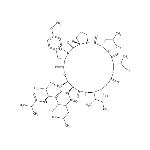 CC[C@H](C)[C@H]1NC(=O)[C@@H](NC(=O)C(CC(C)C)N(C)C(=O)[C@@H](NC(=O)C(C)C)C(C)C)[C@@H](C)OC(=O)[C@H](Cc2ccc(OC)cc2)N(C)C(=O)[C@@H]2CCCN2C(=O)[C@H](CC(C)C)NC(=O)[C@H](C(C)C)CC(=O)C[C@@H]1O